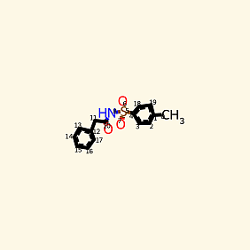 Cc1ccc(S(=O)(=O)NC(=O)Cc2ccccc2)cc1